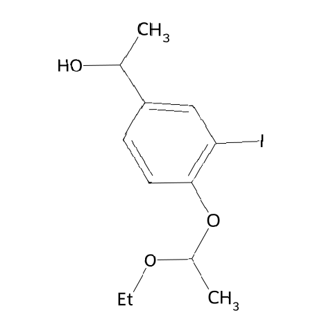 CCOC(C)Oc1ccc(C(C)O)cc1I